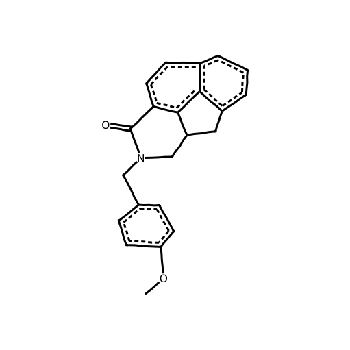 COc1ccc(CN2CC3Cc4cccc5ccc(c3c45)C2=O)cc1